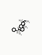 C=CC1(C)CC=C2C(CCC3C(C)(C(=O)NC4CCCCC4)CCCC23C)C1